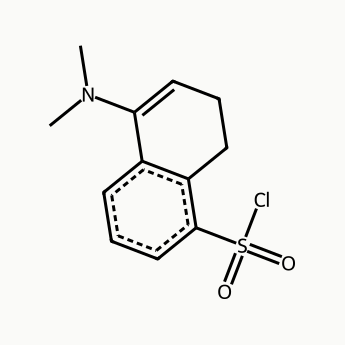 CN(C)C1=CCCc2c1cccc2S(=O)(=O)Cl